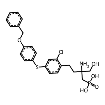 NC(CO)(CCc1ccc(Sc2ccc(OCc3ccccc3)cc2)cc1Cl)CP(=O)(O)O